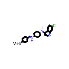 CSc1ccc(CN[C@H]2CC[C@@H](Nc3ccnc4cc(Cl)ccc34)CC2)cc1